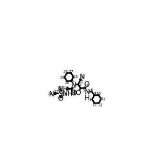 N#CC(C(O)C(=O)NCC1CCCCC1)N(C(=O)CNS(=N)(=O)C#N)C1CCCCC1